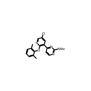 CNc1nccc(-c2cc(Cl)cnc2Oc2c(C)cccc2C)n1